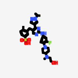 Cc1ccc(S(=O)(=O)O)cc1Cc1cnc(Nc2ccc(N3CCC(N(C)CCO)CC3)c(F)c2)nc1-c1cnn(C(C)C)c1